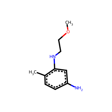 COCCNc1cc(N)ccc1C